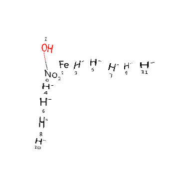 O=[N+]([O-])O.[Fe].[H-].[H-].[H-].[H-].[H-].[H-].[H-].[H-].[H-]